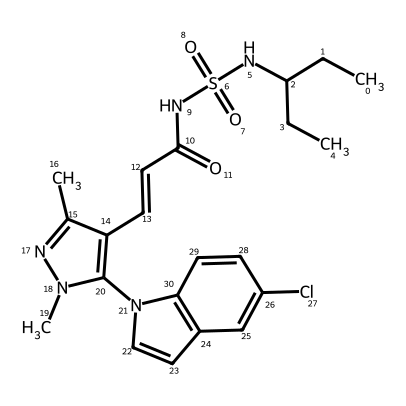 CCC(CC)NS(=O)(=O)NC(=O)/C=C/c1c(C)nn(C)c1-n1ccc2cc(Cl)ccc21